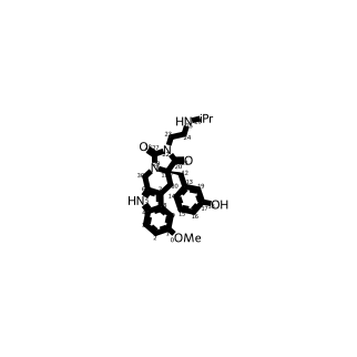 COc1ccc2[nH]c3c(c2c1)C[C@@]1(Cc2cccc(O)c2)C(=O)N(CCNC(C)C)C(=O)N1C3